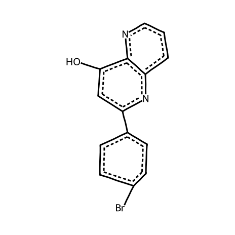 Oc1cc(-c2ccc(Br)cc2)nc2cccnc12